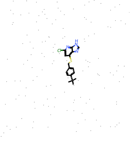 CC(C)(C)c1ccc(CSc2cc(Cl)nc3[nH]cnc23)cc1